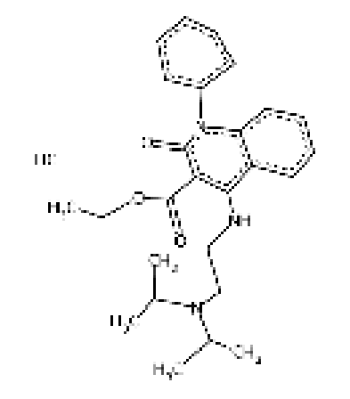 CCOC(=O)c1c(NCCN(C(C)C)C(C)C)c2ccccc2n(-c2ccccc2)c1=O.Cl